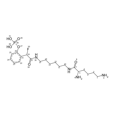 NCCCCC(N)C(=O)NCCCCCCNC(=O)C(F)c1ccccc1OP(=O)(O)O